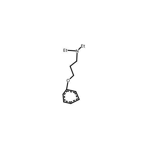 CCN(CC)CCCOc1ccccc1